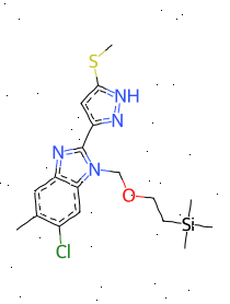 CSc1cc(-c2nc3cc(C)c(Cl)cc3n2COCC[Si](C)(C)C)n[nH]1